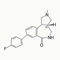 CN1CC2c3ccc(-c4ccc(F)cc4)cc3C(=O)NC[C@H]2C1